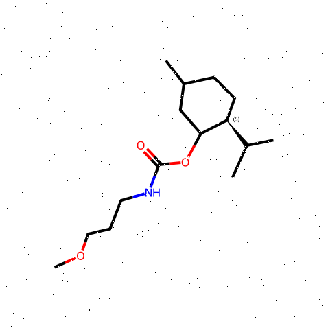 COCCCNC(=O)OC1CC(C)CC[C@H]1C(C)C